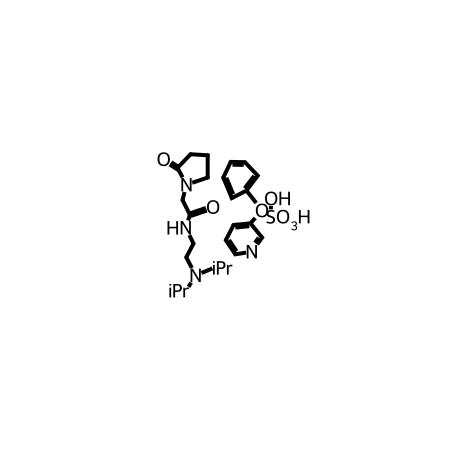 CC(C)N(CCNC(=O)CN1CCCC1=O)C(C)C.O=S(=O)(O)O.c1ccc(Oc2cccnc2)cc1